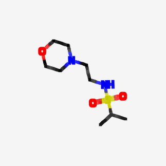 CC(C)S(=O)(=O)NCCN1CCOCC1